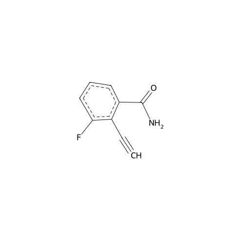 C#Cc1c(F)cccc1C(N)=O